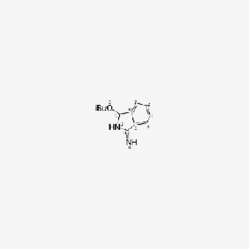 CC(C)COC1NC(=N)c2ccccc21